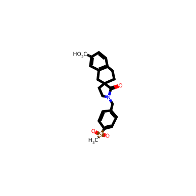 CS(=O)(=O)c1ccc(CN2CCC3(CCc4ccc(C(=O)O)cc4C3)C2=O)cc1